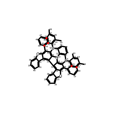 Cc1cc(C)c(B2c3cccc4c3-n3c5c2c(-c2ccccc2)c2oc6ccccc6c2c5c2c5c(oc6ccccc65)c(-c5ccccc5)c(c23)B4c2c(C)cc(C)cc2C)c(C)c1